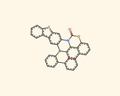 O=C1Oc2cccc3ccc4c(c23)N1c1cc2sc3ccccc3c2cc1B4c1ccccc1-c1ccccc1